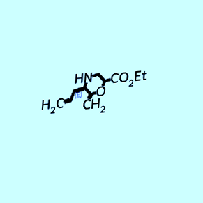 C=C/C=C1/NCC(C(=O)OCC)OC1=C